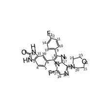 O=c1[nH]c2ccc(-c3c(-c4ccc(F)cc4)nc4c(N5CCOCC5)ncc(F)n34)cc2[nH]1